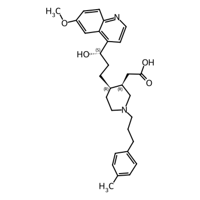 COc1ccc2nccc([C@@H](O)CC[C@@H]3CCN(CCCc4ccc(C)cc4)C[C@@H]3CC(=O)O)c2c1